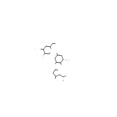 C[C@H](N)[C@H]1O[C@@H](OC2C(O)[C@H](N)CC(N)[C@H]2O[C@H]2OC(CO)[C@@H](O)C(O)C2N)[C@@H](O)C1O